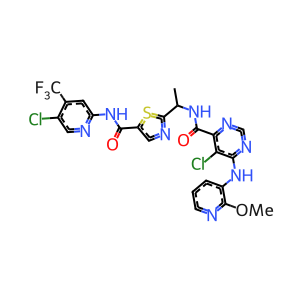 COc1ncccc1Nc1ncnc(C(=O)NC(C)c2ncc(C(=O)Nc3cc(C(F)(F)F)c(Cl)cn3)s2)c1Cl